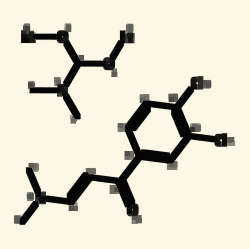 CCOC(OCC)N(C)C.CN(C)C=CC(=O)c1ccc(Cl)c(Cl)c1